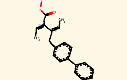 C/C=C(Cc1ccc(-c2ccccc2)cc1)\C(=C/C)C(=O)OI